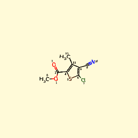 COC(=O)c1sc(Cl)c(C#N)c1C